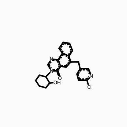 O=c1c2cc(Cc3ccc(Cl)nc3)c3ccccc3c2ncn1C1CCCCC1O